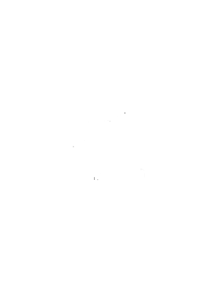 Oc1ccc(O)cc1.c1c[nH]c2c(c1)ccc1nccc12